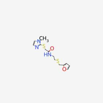 Cn1ccnc1SCC(=O)NCCSCc1ccco1